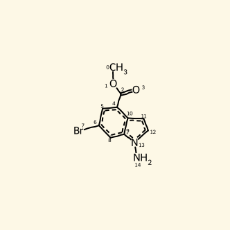 COC(=O)c1cc(Br)cc2c1ccn2N